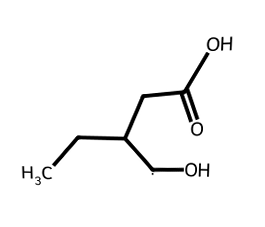 CCC([CH]O)CC(=O)O